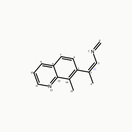 C=N/C=C(/C)c1ccc2cccnc2c1C